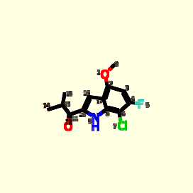 COc1cc(F)c(Cl)c2[nH]c(C(=O)C(C)C)cc12